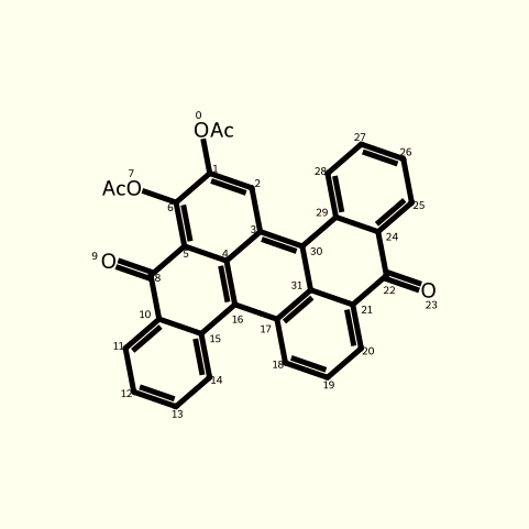 CC(=O)Oc1cc2c3c(c1OC(C)=O)c(=O)c1ccccc1c3c1cccc3c(=O)c4ccccc4c2c31